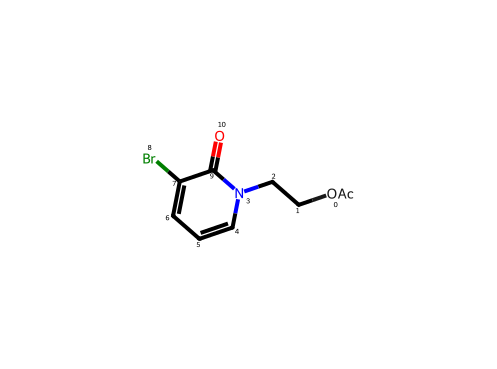 CC(=O)OCCn1cccc(Br)c1=O